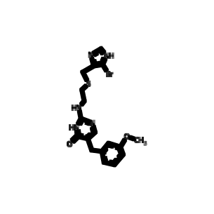 COc1cccc(Cc2cnc(NCCSCc3nc[nH]c3Br)[nH]c2=O)c1